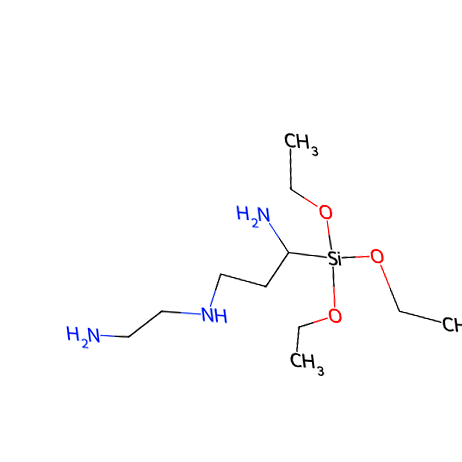 CCO[Si](OCC)(OCC)C(N)CCNCCN